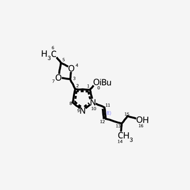 CC(C)COc1c(C2OC(C)O2)cnn1/C=C/C(C)CO